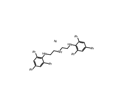 CC(C)c1cc(C(C)C)c(NCCNCCNc2c(C(C)C)cc(C(C)C)cc2C(C)C)c(C(C)C)c1.[Ni]